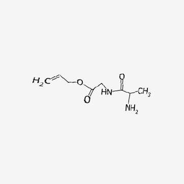 C=CCOC(=O)CNC(=O)C(C)N